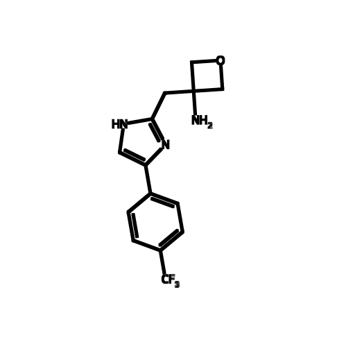 NC1(Cc2nc(-c3ccc(C(F)(F)F)cc3)c[nH]2)COC1